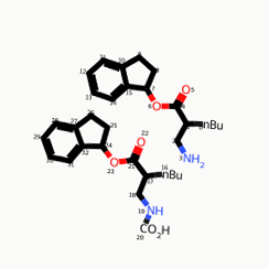 CCCCC(CN)C(=O)OC1CCc2ccccc21.CCCCC(CNC(=O)O)C(=O)OC1CCc2ccccc21